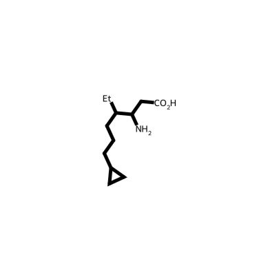 CCC(CCCC1CC1)C(N)CC(=O)O